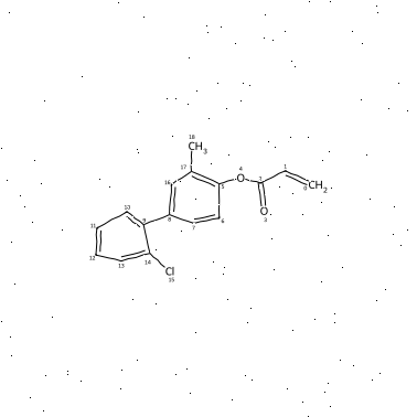 C=CC(=O)Oc1ccc(-c2ccccc2Cl)cc1C